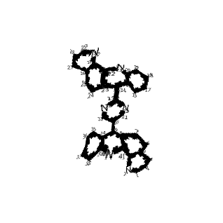 c1cnc2c(c1)ccc1c(-c3cnc(-c4c5ccccc5nc5c4ccc4cccnc45)nc3)c3ccccc3nc12